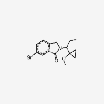 CCC(N1Cc2ccc(Br)cc2C1=O)C1(OC)CC1